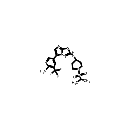 CC(C)S(=O)(=O)N1CCC(Nc2nn3c(-c4cnc(N)c(C(F)(F)F)c4)cnc3s2)CC1